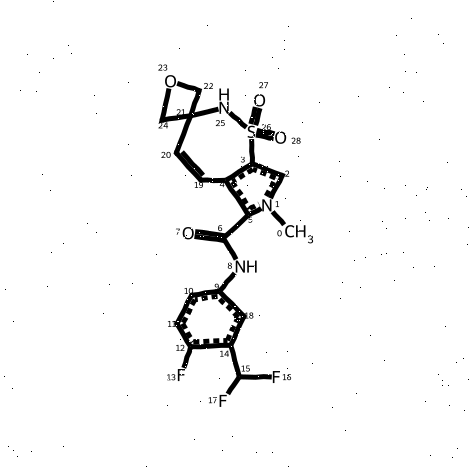 Cn1cc2c(c1C(=O)Nc1ccc(F)c(C(F)F)c1)C=CC1(COC1)NS2(=O)=O